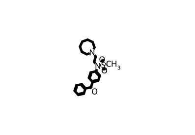 CS(=O)(=O)N(CCN1CCCCCCC1)c1ccc(C(=O)c2ccccc2)cc1